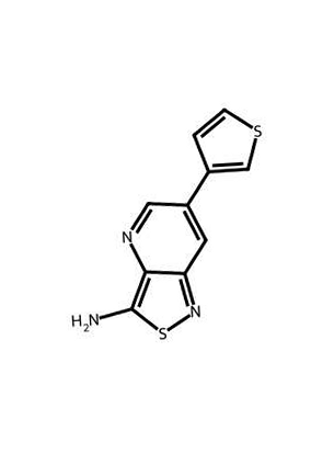 Nc1snc2cc(-c3ccsc3)cnc12